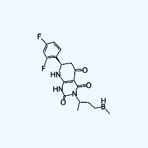 CBCCC(C)n1c(=O)[nH]c2c(c1=O)C(=O)C[C@H](c1ccc(F)cc1F)N2